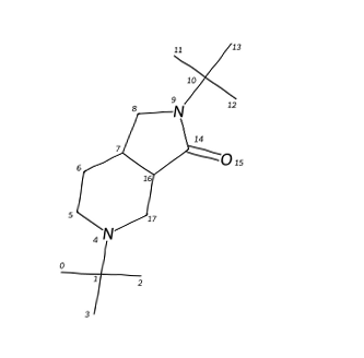 CC(C)(C)N1CCC2CN(C(C)(C)C)C(=O)C2C1